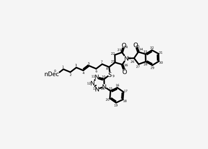 CCCCCCCCCCCCCC=CCCC(Sc1nnnn1-c1ccccc1)C1CC(=O)N(C2Cc3ccccc3C2=O)C1=O